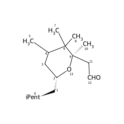 CCC[C@H](C)C[C@@H]1CC(C)C(C)(C)[C@@](C)(CC=O)O1